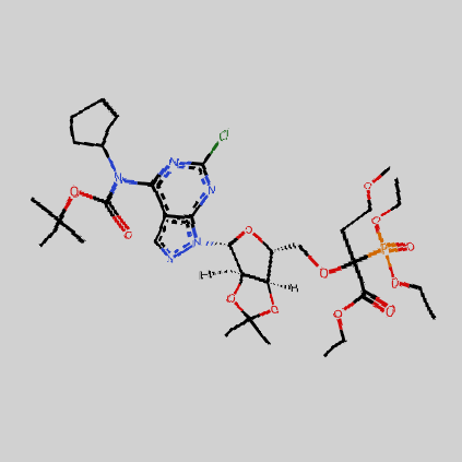 CCOC(=O)C(CCOC)(OC[C@H]1O[C@@H](n2ncc3c(N(C(=O)OC(C)(C)C)C4CCCC4)nc(Cl)nc32)[C@@H]2OC(C)(C)O[C@@H]21)P(=O)(OCC)OCC